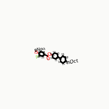 CCCCCCCCCOc1ccc(C(=O)OC2CCC(C3CCC(CCCCCCCC)CC3)CC2)cc1F